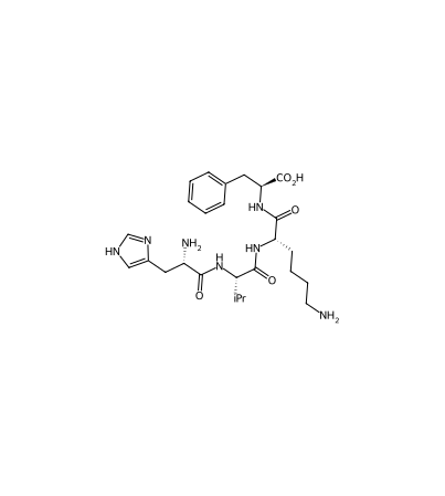 CC(C)[C@H](NC(=O)[C@@H](N)Cc1c[nH]cn1)C(=O)N[C@@H](CCCCN)C(=O)N[C@@H](Cc1ccccc1)C(=O)O